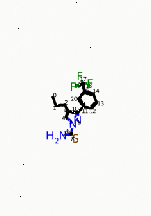 CCCC1CN(C(N)=S)N=C1c1cccc(C(F)(F)F)c1